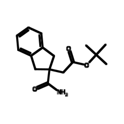 CC(C)(C)OC(=O)CC1(C(N)=O)Cc2ccccc2C1